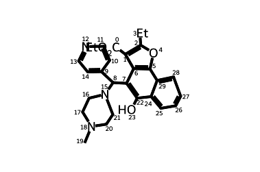 CCOC(=O)c1c(CC)oc2c1c(C(c1ccncc1)N1CCN(C)CC1)c(O)c1ccccc12